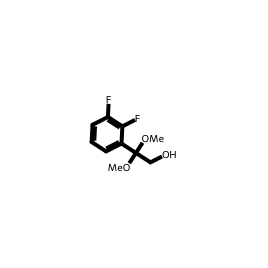 COC(CO)(OC)c1cccc(F)c1F